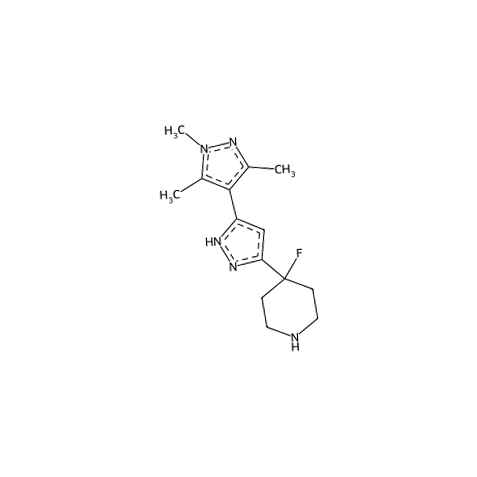 Cc1nn(C)c(C)c1-c1cc(C2(F)CCNCC2)n[nH]1